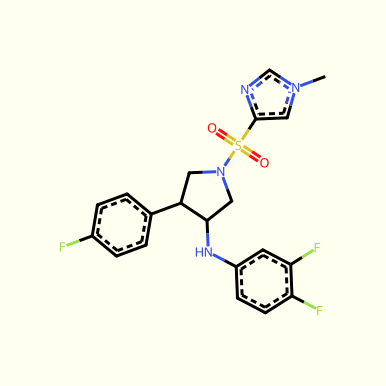 Cn1cnc(S(=O)(=O)N2CC(Nc3ccc(F)c(F)c3)C(c3ccc(F)cc3)C2)c1